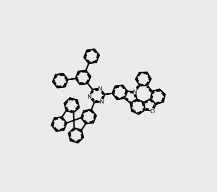 c1ccc(-c2cc(-c3ccccc3)cc(-c3nc(-c4ccc5c(c4)C4(c6ccccc6-c6ccccc64)c4ccccc4-5)nc(-c4ccc5c(c4)c4ccc6oc7cccc8c9ccccc9n5c4c6c78)n3)c2)cc1